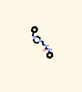 O=C(NCCN1CCCN(Cc2ccccc2)CC1)Nc1ccccc1